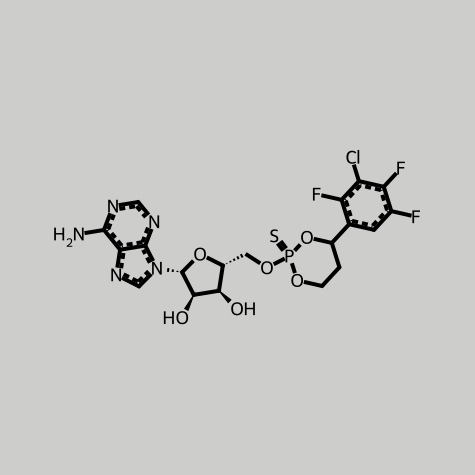 Nc1ncnc2c1ncn2[C@@H]1O[C@H](COP2(=S)OCCC(c3cc(F)c(F)c(Cl)c3F)O2)[C@@H](O)[C@H]1O